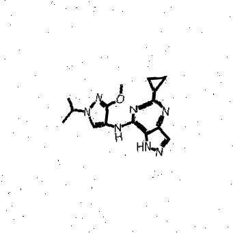 COc1nn(C(C)C)cc1Nc1nc(C2CC2)nc2cn[nH]c12